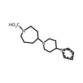 O=C(O)N1CCCC(N2CCC(n3cccc3)CC2)CC1